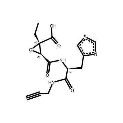 C#CCNC(=O)[C@H](Cc1cscn1)NC(=O)[C@H]1O[C@]1(CC)C(=O)O